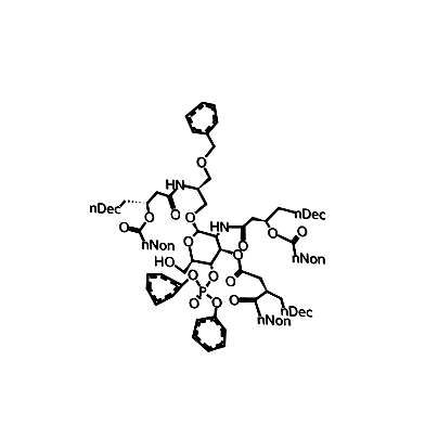 CCCCCCCCCCC[C@H](CC(=O)N[C@@H](COCc1ccccc1)CO[C@@H]1O[C@H](CO)[C@@H](OP(=O)(Oc2ccccc2)Oc2ccccc2)[C@H](OC(=O)C[C@@H](CCCCCCCCCCC)C(=O)CCCCCCCCC)[C@H]1NC(=O)C[C@@H](CCCCCCCCCCC)OC(=O)CCCCCCCCC)OC(=O)CCCCCCCCC